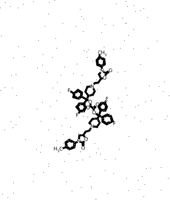 Cc1ccc(N2CC(CCN3CCC(C(OC(=O)C(=O)OC(c4ccc(F)cc4)(c4ccc(F)cc4)C4CCN(CCC5CN(c6ccc(C)cc6)C(=O)O5)CC4)(c4ccc(F)cc4)c4ccc(F)cc4)CC3)OC2=O)cc1